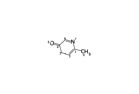 CC1=CCC(=O)C=N1